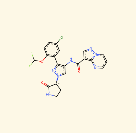 O=C(Nc1cn([C@H]2CCNC2=O)nc1-c1cc(Cl)ccc1OC(F)F)c1cnn2cccnc12